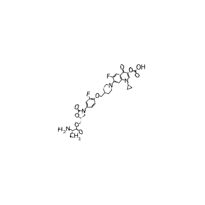 C[C@H](N)C(=O)OC[C@H]1CN(c2ccc(OCC3CCN(c4cc5c(cc4F)c(=O)c(OC(=O)O)cn5C4CC4)CC3)c(F)c2)C(=O)O1